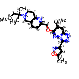 COCC(C)(C)N1CCc2nc(COc3nn4c(-c5cc(C)on5)nnc4cc3OC)ccc2C1